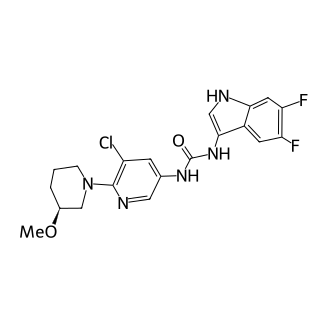 CO[C@H]1CCCN(c2ncc(NC(=O)Nc3c[nH]c4cc(F)c(F)cc34)cc2Cl)C1